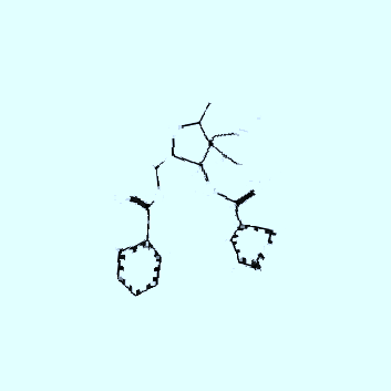 CC1O[C@H](COC(=O)c2ccccc2)C(OC(=O)c2ccccc2)C1(F)F